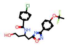 CC(F)(F)Oc1ccc(-c2noc(CC(CCO)NC(=O)c3ccc(Cl)cc3)n2)cc1